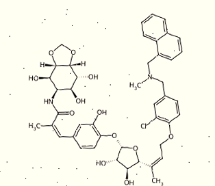 CC(=Cc1ccc(O[C@@H]2O[C@H](C(C)=CCOc3ccc(CN(C)Cc4cccc5ccccc45)cc3Cl)[C@@H](O)[C@@H]2O)c(O)c1)C(=O)N[C@@H]1[C@H](O)[C@@H](O)[C@H]2OCO[C@H]2[C@@H]1O